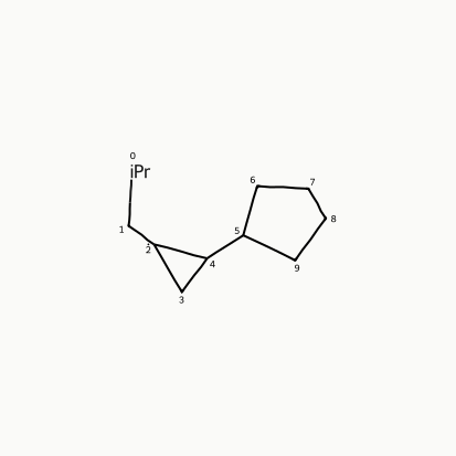 CC(C)C[C]1CC1C1CCCC1